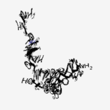 COP(=O)(OC1OC(n2cnc3c(N)ncnc32)C(O)C1OP(=O)(O)O)OP(=O)(O)OCC(C)(C)C(O)NCCC(=O)NCCS/C(C)=N/OCCNCCN